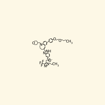 CCCCOCCOc1ccc(-c2ccc3c(c2)/C=C(/c2nc4cc([S@@+]([O-])Cc5c(C(F)(F)F)ncn5CCC)ccc4[nH]2)CCCN3CC2CCOCC2)cc1